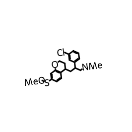 CNCC(CC1CCOc2cc(SOC)ccc21)c1cccc(Cl)c1